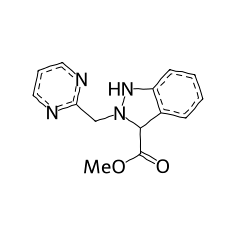 COC(=O)C1c2ccccc2NN1Cc1ncccn1